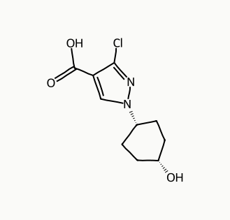 O=C(O)c1cn([C@H]2CC[C@@H](O)CC2)nc1Cl